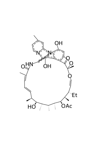 CC[C@H]1/C=C/O[C@@]2(C)Oc3cc(O)c4c(O)c(c5c(nc6cc(C)ccn65)c4c3C2=O)NC(=O)/C(C)=C\C=C\[C@H](C)[C@H](O)[C@@H](C)[C@@H](C)[C@@H](C)[C@H](OC(C)=O)[C@@H]1C